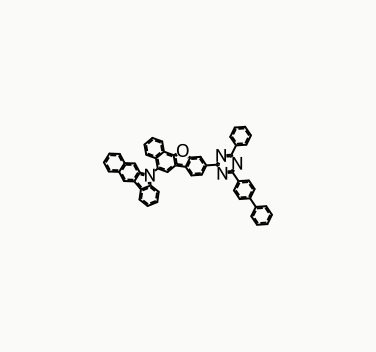 c1ccc(-c2ccc(-c3nc(-c4ccccc4)nc(-c4ccc5c(c4)oc4c6ccccc6c(-n6c7ccccc7c7cc8ccccc8cc76)cc54)n3)cc2)cc1